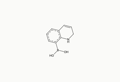 OB(O)c1cccc2c1NCC=C2